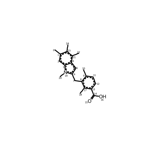 Cc1cc2c(cc(Cc3c(C)ccc(C(=O)O)c3C)n2C)c(C)c1C